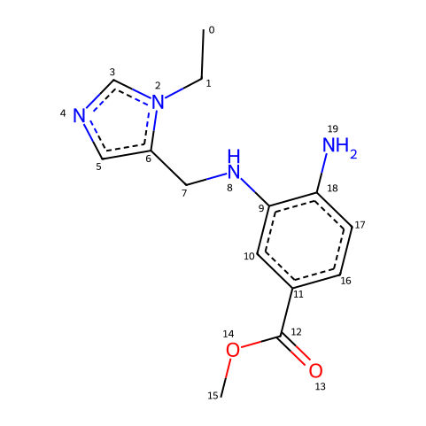 CCn1cncc1CNc1cc(C(=O)OC)ccc1N